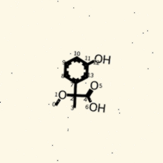 COC(C)(C(=O)O)c1cccc(O)c1